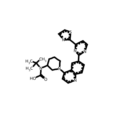 CC(C)(C)N(C(=O)O)C1CCCN(c2ccnc3ccc(-c4nccc(-c5nccs5)n4)cc23)C1